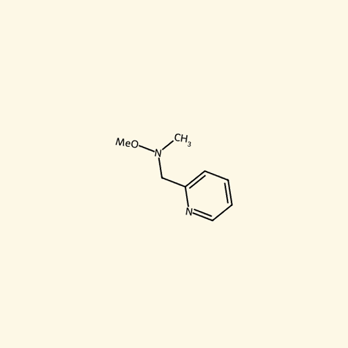 CON(C)Cc1ccccn1